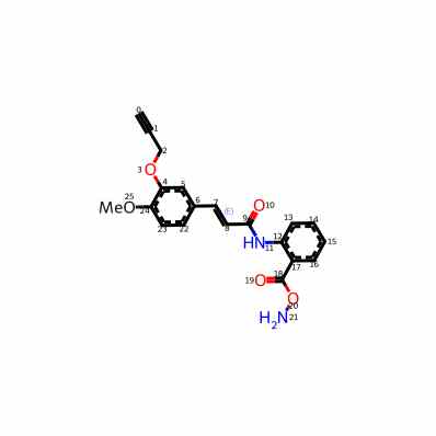 C#CCOc1cc(/C=C/C(=O)Nc2ccccc2C(=O)ON)ccc1OC